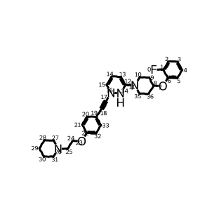 Fc1ccccc1OC1CCN(C2=CC=CN(C#Cc3ccc(OCCN4CCCCC4)cc3)N2)CC1